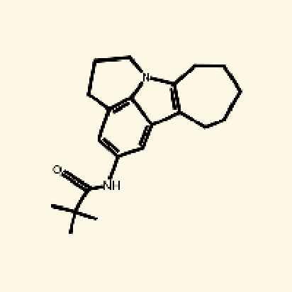 CC(C)(C)C(=O)Nc1cc2c3c(c1)c1c(n3CCC2)CCCCC1